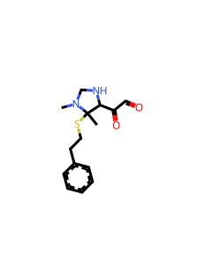 CN1CNC(C(=O)C=O)C1(C)SCCc1ccccc1